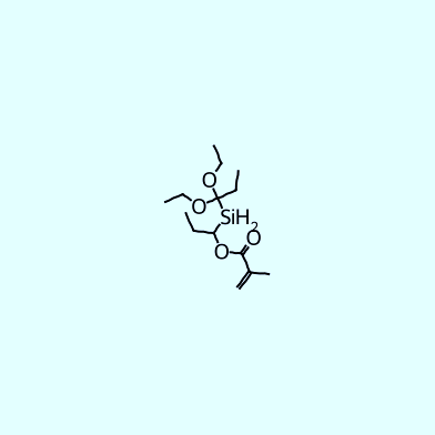 C=C(C)C(=O)OC(CC)[SiH2]C(CC)(OCC)OCC